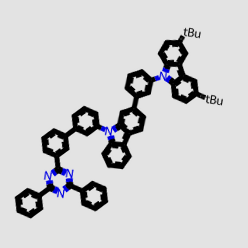 CC(C)(C)c1ccc2c(c1)c1cc(C(C)(C)C)ccc1n2-c1cccc(-c2ccc3c4ccccc4n(-c4cccc(-c5cccc(-c6nc(-c7ccccc7)nc(-c7ccccc7)n6)c5)c4)c3c2)c1